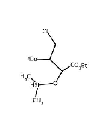 CCOC(=O)C(O[SiH](C)C)C(CCl)C(C)(C)C